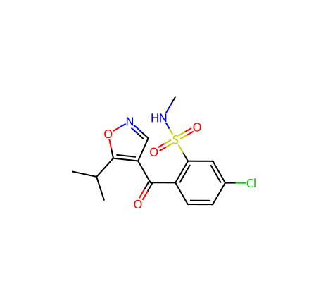 CNS(=O)(=O)c1cc(Cl)ccc1C(=O)c1cnoc1C(C)C